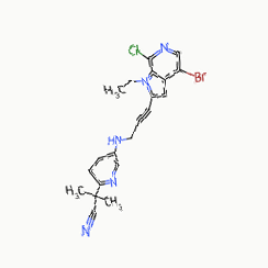 CCn1c(C#CCNc2ccc(C(C)(C)C#N)nc2)cc2c(Br)cnc(Cl)c21